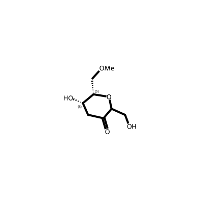 COC[C@@H]1OC(CO)C(=O)C[C@@H]1O